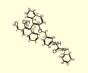 O=Cc1cc2ccccc2c(-c2c(OCc3cccc(NC(=O)Nc4ccccc4)c3)ccc3ccccc23)c1O